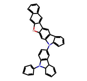 C1=CC2c3cc(-n4c5ccccc5c5cc6c(cc54)oc4cc5ccccc5cc46)ccc3N(c3ccccc3)C2C=C1